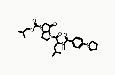 CC(C)COC(=O)N1CC(=O)C2C1CCN2C(=O)C(CC(C)C)NC(=O)c1ccc(N2CCCC2)cc1